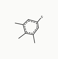 Cc1cc([S])cc(C)c1C